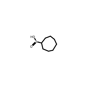 O=S(O)C1CCCCCCC1